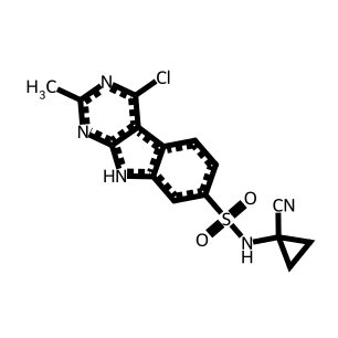 Cc1nc(Cl)c2c(n1)[nH]c1cc(S(=O)(=O)NC3(C#N)CC3)ccc12